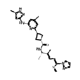 C=N/C(=C\C=C(/C)[C@H](C)NC(=O)[C@H]1C[C@H](c2cc(C)cc(Nc3cc(C)[nH]n3)n2)C1)n1cccn1